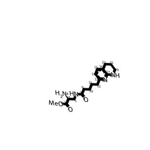 COC(=O)[C@@H](N)CNC(=O)CCCCc1ccc2c(n1)NCCC2